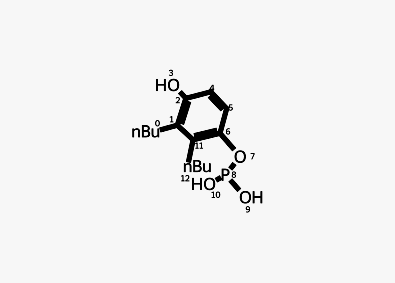 CCCCc1c(O)ccc(OP(O)O)c1CCCC